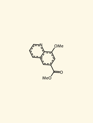 COC(=O)c1cc(OC)c2ncccc2c1